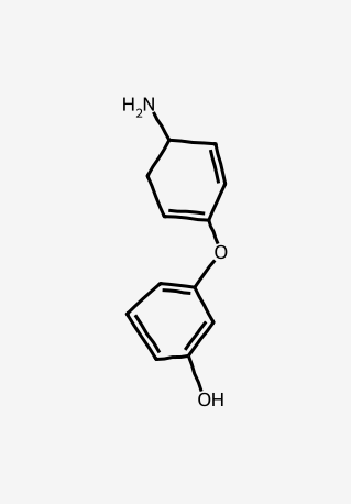 NC1C=CC(Oc2cccc(O)c2)=CC1